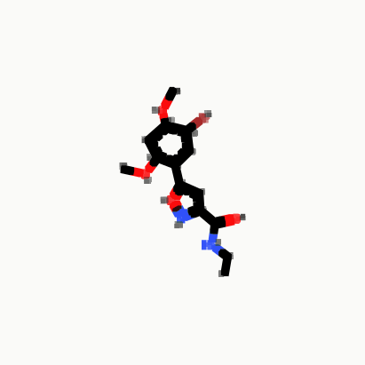 CCNC(=O)c1cc(-c2cc(Br)c(OC)cc2OC)on1